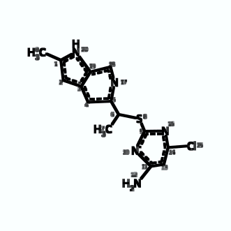 Cc1cc2cc(C(C)Sc3nc(N)cc(Cl)n3)ncc2[nH]1